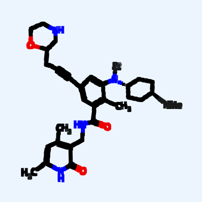 CCN(c1cc(C#CCC2CNCCO2)cc(C(=O)NCc2c(C)cc(C)[nH]c2=O)c1C)[C@H]1CC[C@H](NC)CC1